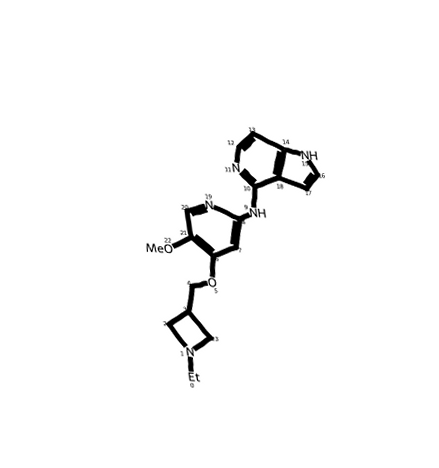 CCN1CC(COc2cc(Nc3nccc4[nH]ccc34)ncc2OC)C1